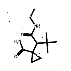 CCNC(=O)C(C(C)(C)C)C1(C(N)=O)CC1